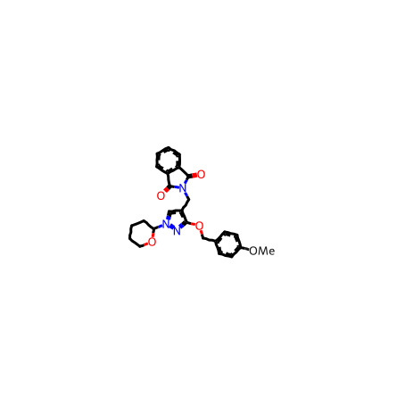 COc1ccc(COc2nn(C3CCCCO3)cc2CN2C(=O)c3ccccc3C2=O)cc1